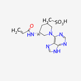 C=CC(=O)N[C@@H]1CCCN(c2ncnc3[nH]cnc23)C1.CS(=O)(=O)O